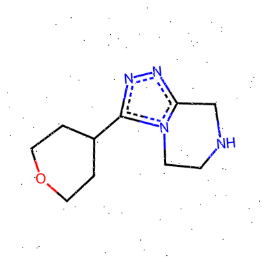 C1Cn2c(nnc2C2CCOCC2)CN1